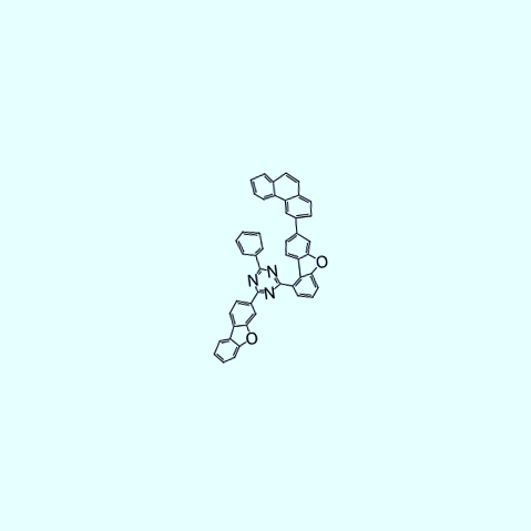 c1ccc(-c2nc(-c3ccc4c(c3)oc3ccccc34)nc(-c3cccc4oc5cc(-c6ccc7ccc8ccccc8c7c6)ccc5c34)n2)cc1